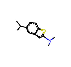 CC(C)c1ccc2sc(N(C)C)cc2c1